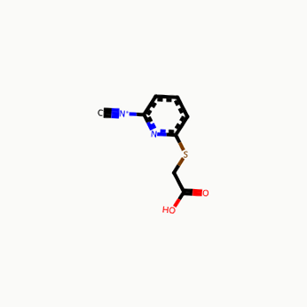 [C-]#[N+]c1cccc(SCC(=O)O)n1